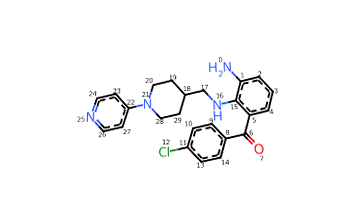 Nc1cccc(C(=O)c2ccc(Cl)cc2)c1NCC1CCN(c2ccncc2)CC1